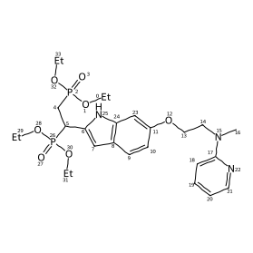 CCOP(=O)(CC(c1cc2ccc(OCCN(C)c3ccccn3)cc2[nH]1)P(=O)(OCC)OCC)OCC